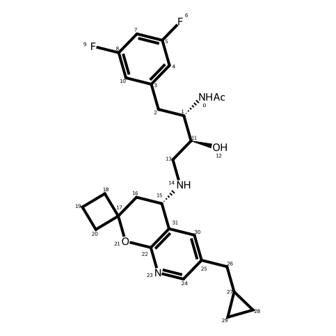 CC(=O)N[C@@H](Cc1cc(F)cc(F)c1)[C@@H](O)CN[C@H]1CC2(CCC2)Oc2ncc(CC3CC3)cc21